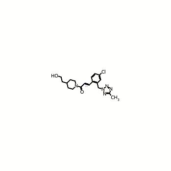 Cc1nnn(Cc2cc(Cl)ccc2/C=C/C(=O)N2CCC(CCO)CC2)n1